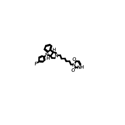 O=c1cc[nH]c(=O)n1CCCCCCN1CC[C@@H]2[C@@H](C1)c1ccccc1N2c1ccc(F)cc1